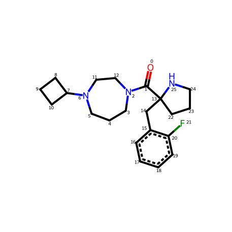 O=C(N1CCCN(C2CCC2)CC1)C1(Cc2ccccc2F)CCCN1